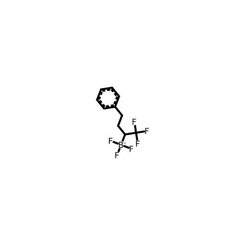 F[B-](F)(F)C(CCc1ccccc1)C(F)(F)F